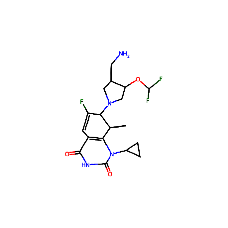 CC1c2c(c(=O)[nH]c(=O)n2C2CC2)C=C(F)C1N1CC(CN)C(OC(F)F)C1